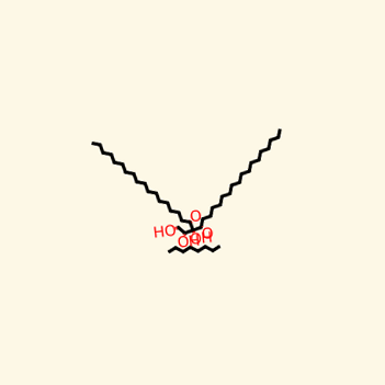 CCCCCCCC.CCCCCCCCCCCCCCCCCC(=O)C(O)(C(=O)CCCCCCCCCCCCCCCCC)C(O)CO